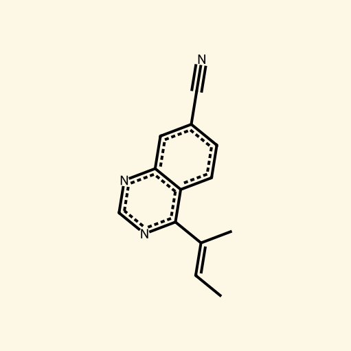 C/C=C(\C)c1ncnc2cc(C#N)ccc12